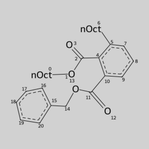 CCCCCCCCOC(=O)c1c(CCCCCCCC)cccc1C(=O)OCc1ccccc1